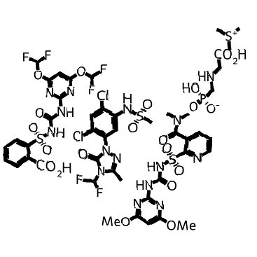 COc1cc(OC)nc(NC(=O)NS(=O)(=O)c2ncccc2C(=O)N(C)C)n1.C[S+](C)C.Cc1nn(-c2cc(NS(C)(=O)=O)c(Cl)cc2Cl)c(=O)n1C(F)F.O=C(Nc1nc(OC(F)F)cc(OC(F)F)n1)NS(=O)(=O)c1ccccc1C(=O)O.O=C(O)CNCP(=O)([O-])O